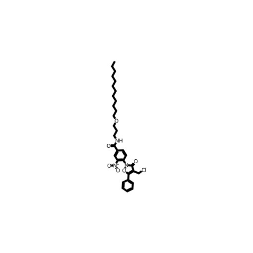 CCCCCCCCCCCCOCCCNC(=O)c1ccc(-n2oc(-c3ccccc3)c(CCl)c2=O)c([N+](=O)[O-])c1